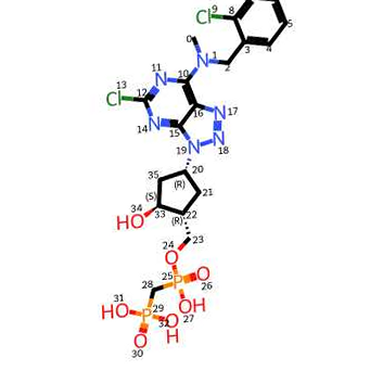 CN(Cc1ccccc1Cl)c1nc(Cl)nc2c1nnn2[C@@H]1C[C@H](COP(=O)(O)CP(=O)(O)O)[C@@H](O)C1